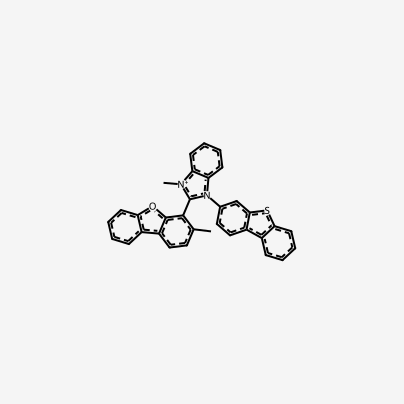 Cc1ccc2c(oc3ccccc32)c1-c1n(-c2ccc3c(c2)sc2ccccc23)c2ccccc2[n+]1C